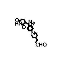 Cn1nc(C2CCC(=O)NC2=O)c2ccc(N3CCC(CCC=O)CC3)cc21